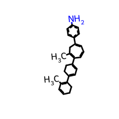 CC1=C(C2=CC=C(C3=C(C)CC(c4ccc(N)cc4)=CC=C3)CC2)CCC=C1